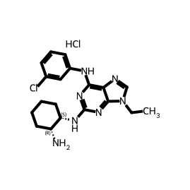 CCn1cnc2c(Nc3cccc(Cl)c3)nc(N[C@H]3CCCC[C@H]3N)nc21.Cl